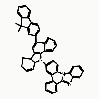 CC1(C)c2ccccc2-c2ccc(-c3cc4c(c5ccccc35)N(c3ccc5c(c3)c3ccccc3c3nc6ccccc6n53)C3C=CCCC43)cc21